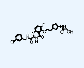 O=C(CO)NC1CCC(CCOc2c(F)ccc3nc(C(=O)NCc4cccc(Cl)c4)[nH]c(=O)c23)C1